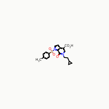 Cc1ccc(S(=O)(=O)n2ccc3c(C(=O)O)cn(CCC4CC4)c(=O)c32)cc1